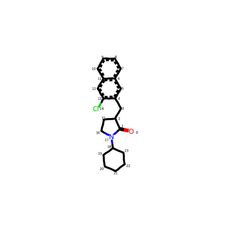 O=C1C(Cc2cc3ccccc3cc2Cl)CCN1C1CCCCC1